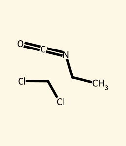 CCN=C=O.ClCCl